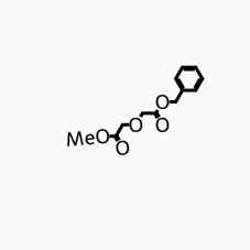 COC(=O)COCC(=O)OCc1ccccc1